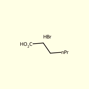 Br.CCCCCC(=O)O